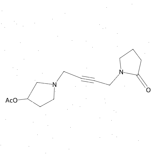 CC(=O)OC1CCN(CC#CCN2CCCC2=O)C1